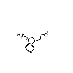 COCCC1CN(N)c2ccccc21